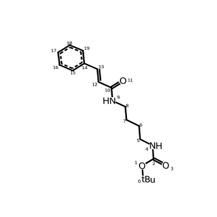 CC(C)(C)OC(=O)NCCCCNC(=O)C=Cc1ccccc1